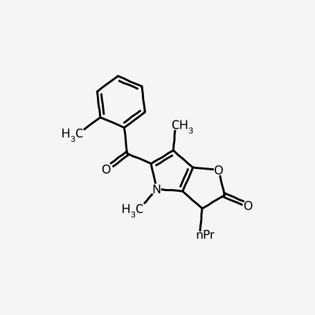 CCCC1C(=O)Oc2c(C)c(C(=O)c3ccccc3C)n(C)c21